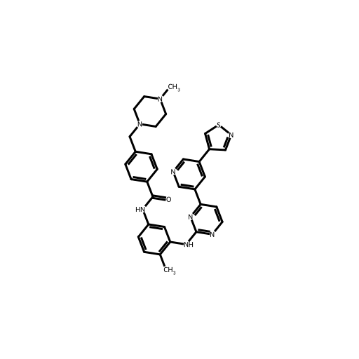 Cc1ccc(NC(=O)c2ccc(CN3CCN(C)CC3)cc2)cc1Nc1nccc(-c2cncc(-c3cnsc3)c2)n1